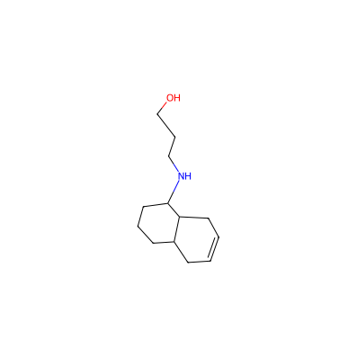 OCCCNC1CCCC2CC=CCC21